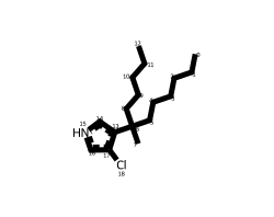 CCCCCCC(C)(CCCCC)c1c[nH]cc1Cl